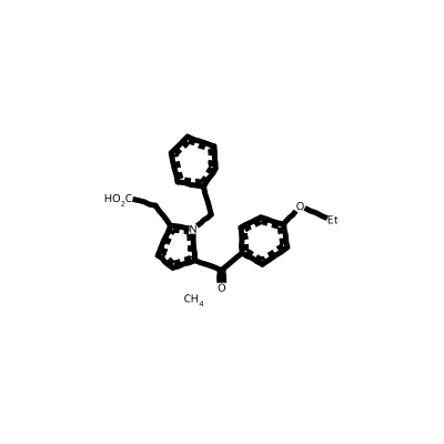 C.CCOc1ccc(C(=O)c2ccc(CC(=O)O)n2Cc2ccccc2)cc1